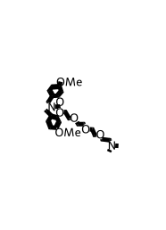 COc1ccc(CN(Cc2ccc(OC)cc2)C(=O)OCCOCCOCCOCCN(C)C)cc1